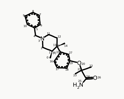 C[C@H]1CN(Cc2ccccc2)CC[C@]1(C)c1cccc(OC(C)(C)C(N)=O)c1